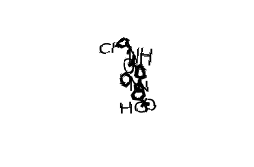 O=C(O)c1ccc2c(c1)nc(-c1cccc(C(=O)NCCc3cccc(Cl)c3)c1)n2C1CCCCC1